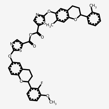 COc1cccc(C2CCc3cc(Oc4ncc(C(=O)OC(=O)c5cnc(Oc6cc7c(cc6C)OC(c6ccccc6C)CC7)s5)s4)ccc3O2)c1F